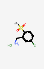 CCCS(=O)(=O)c1ccc(Cl)cc1CN.Cl